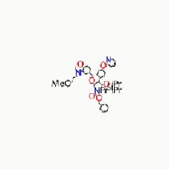 COCCCN1CCOc2ccc(COC3CN(C(=O)OCc4ccccc4)CC(O[Si](C(C)C)(C(C)C)C(C)C)C3c3ccc(Oc4ccccn4)cc3)cc21